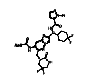 CCn1nccc1C(=O)N[C@H](c1cn2nc(CC3CC(F)(F)CNC3=O)c(NC(=O)OC)cc2n1)C1CCC(F)(F)CC1